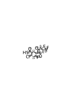 Cn1c(C(F)(F)F)cc(=O)n(-c2cc(C(=O)S)c(Cl)cc2F)c1=O